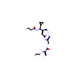 N/C=C(/C(=O)NCc1cn2ncc(C(NC(=O)CCC(F)(F)F)C3CC3)cc2n1)N(N)CCC(F)(F)F